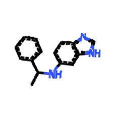 CC(Nc1ccc2nc[nH]c2c1)c1ccccc1